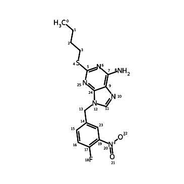 CCCCSc1nc(N)c2ncn(Cc3ccc(F)c([N+](=O)[O-])c3)c2n1